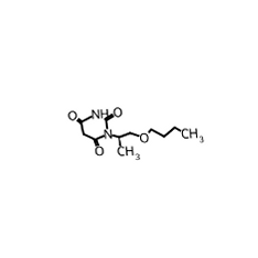 CCCCOC[C@@H](C)N1C(=O)CC(=O)NC1=O